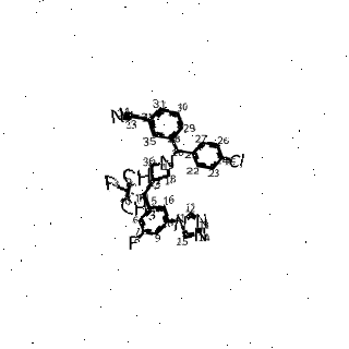 CC(C)(F)[C@@H](c1cc(F)cc(-n2cnnc2)c1)C1CN(C(c2ccc(Cl)cc2)c2cccc(C#N)c2)C1